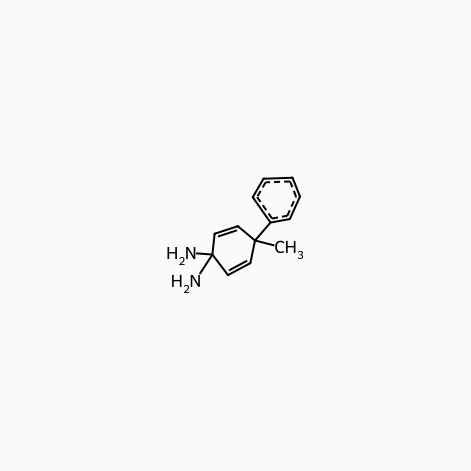 CC1(c2ccccc2)C=CC(N)(N)C=C1